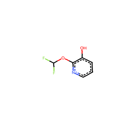 Oc1cccnc1OC(F)F